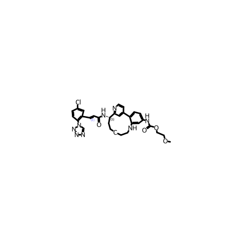 COCCOC(=O)Nc1ccc2c(c1)NCCCCC[C@H](NC(=O)/C=C/c1cc(Cl)ccc1-n1cnnn1)c1cc-2ccn1